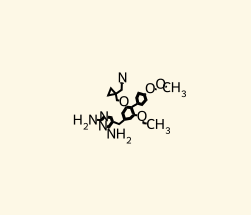 CCOc1cc(Cc2cnc(N)nc2N)cc(OCC2(CC#N)CC2)c1-c1ccc(OCOC)cc1